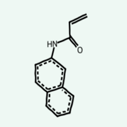 C=CC(=O)Nc1ccc2ccccc2c1